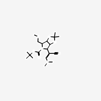 CSCC1C2OC(C)(C)OC2C(C(C#N)=CN(C)C)N1C(=O)OC(C)(C)C